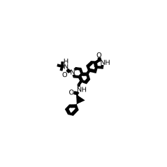 CC(C)(C)NC(=O)N1CCc2c(-c3ccc4c(c3)CNC4=O)ccc(CNC(=O)[C@H]3C[C@@H]3c3ccccc3)c2C1